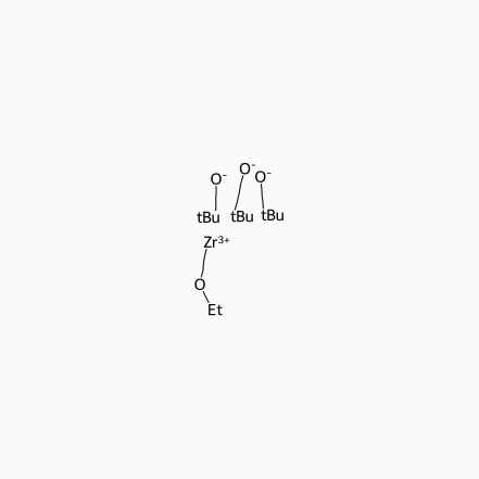 CC(C)(C)[O-].CC(C)(C)[O-].CC(C)(C)[O-].CC[O][Zr+3]